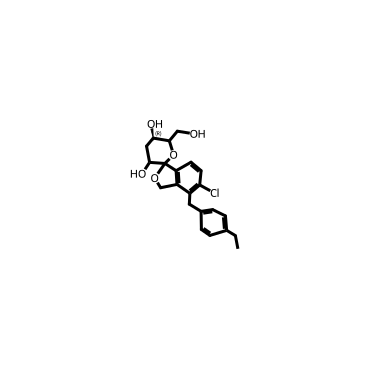 CCc1ccc(Cc2c(Cl)ccc3c2COC32OC(CO)[C@H](O)CC2O)cc1